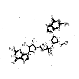 CC(C)(NC[C@H]1O[C@@H](n2cnc3c(=O)[nH]c(N)nc32)[C@@H](O)[C@@H]1O)N[C@H]1C[C@H](n2cnc3c(=O)[nH]c(N)nc32)O[C@@H]1CO